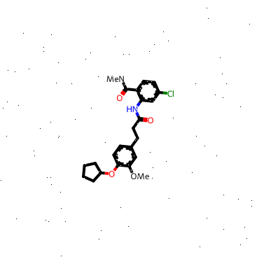 CNC(=O)c1ccc(Cl)cc1NC(=O)CCc1ccc(OC2CCCC2)c(OC)c1